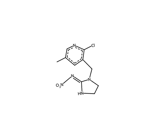 Cc1cnc(Cl)c(CN2CCNC2=N[N+](=O)[O-])c1